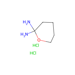 Cl.Cl.NC1(N)CCCCO1